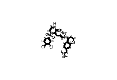 CC(C)N(C)Cc1ccc2c(c1)OCCC2n1cc(CC2C(=O)NC=CN2S(=O)(=O)c2ccc(Cl)c(Cl)c2)nn1